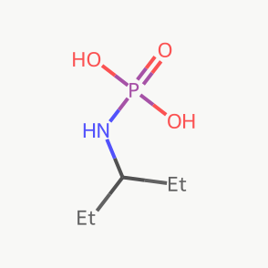 CCC(CC)NP(=O)(O)O